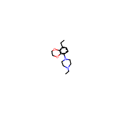 CCc1ccc(N2CCN(CC)CC2)c2c1OCCO2